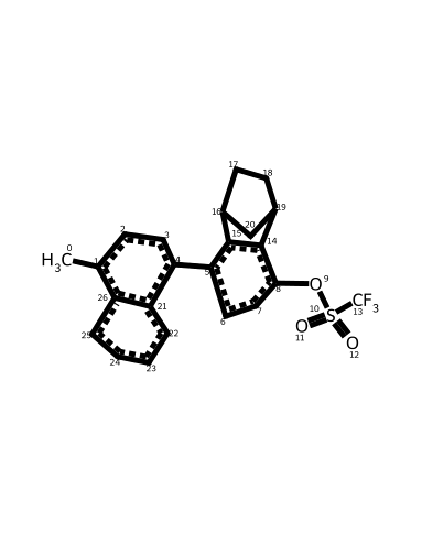 Cc1ccc(-c2ccc(OS(=O)(=O)C(F)(F)F)c3c2C2CCC3C2)c2ccccc12